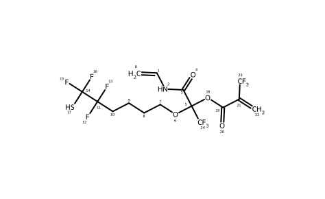 C=CNC(=O)C(OCCCCC(F)(F)C(F)(F)S)(OC(=O)C(=C)C(F)(F)F)C(F)(F)F